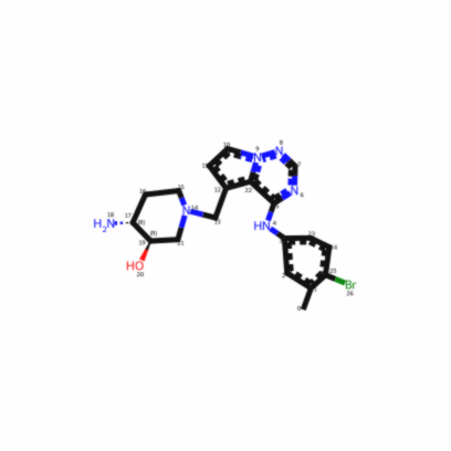 Cc1cc(Nc2ncnn3ccc(CN4CC[C@@H](N)[C@H](O)C4)c23)ccc1Br